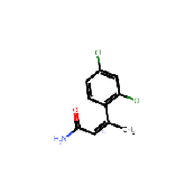 C/C(=C/C(N)=O)c1ccc(Cl)cc1Cl